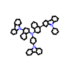 c1ccc(-n2c3ccccc3c3ccc(-c4ccc(N(c5ccc(-n6c7ccccc7c7ccccc76)cc5)c5ccc(-n6c7ccccc7c7ccccc76)c6ccccc56)c5ccccc45)cc32)cc1